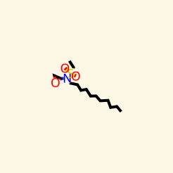 CCCCCCCCCCCN(C1CO1)S(=O)(=O)CC